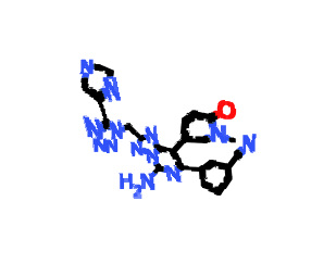 Cn1cc(-c2c(-c3cccc(C#N)c3)nc(N)n3nc(Cn4nnnc4-c4cnccn4)nc23)ccc1=O